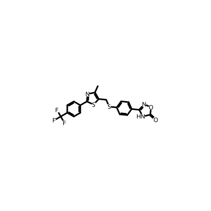 Cc1nc(-c2ccc(C(F)(F)F)cc2)sc1CSc1ccc(-c2noc(=O)[nH]2)cc1